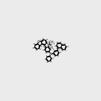 C[Si]1(C)c2cc(N(c3ccccc3)c3cccc(-c4cccc5ccccc45)c3)ccc2-c2c1ccc1oc3ccccc3c21